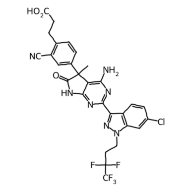 CC1(c2ccc(CCC(=O)O)c(C#N)c2)C(=O)Nc2nc(-c3nn(CCC(F)(F)C(F)(F)F)c4cc(Cl)ccc34)nc(N)c21